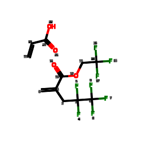 C=C(CC(F)(F)C(F)(F)F)C(=O)OCC(F)(F)F.C=CC(=O)O